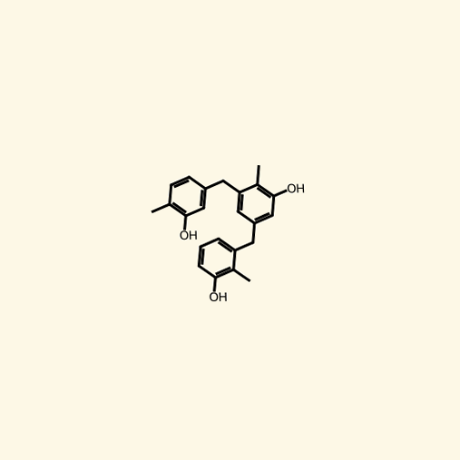 Cc1ccc(Cc2cc(Cc3cccc(O)c3C)cc(O)c2C)cc1O